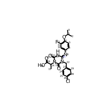 CC(C)Oc1ccc(/N=c2\[nH]c(=O)n(C(C)C(=O)O)c(=O)n2Cc2ccc(Cl)cc2)cc1F